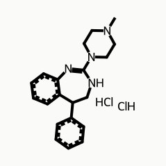 CN1CCN(C2=Nc3ccccc3C(c3ccccc3)CN2)CC1.Cl.Cl